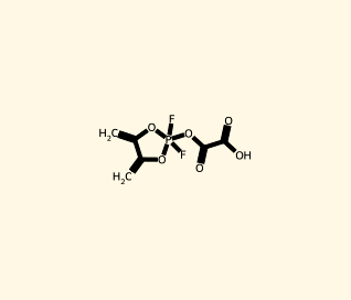 C=C1OP(F)(F)(OC(=O)C(=O)O)OC1=C